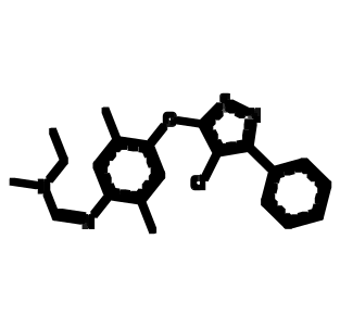 CCN(C)/C=N\c1cc(C)c(Oc2snc(-c3ccccc3)c2Cl)cc1C